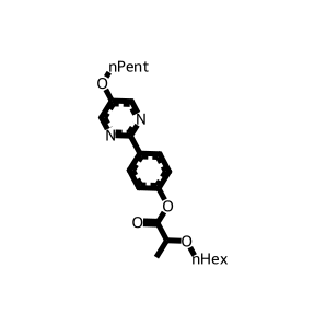 CCCCCCOC(C)C(=O)Oc1ccc(-c2ncc(OCCCCC)cn2)cc1